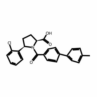 Cc1ccc(-c2ccc(C(=O)N3[C@@H](c4ccccc4Cl)CC[C@H]3C(=O)O)cc2)cc1